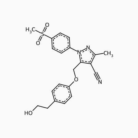 Cc1nn(-c2ccc(S(C)(=O)=O)cc2)c(COc2ccc(CCO)cc2)c1C#N